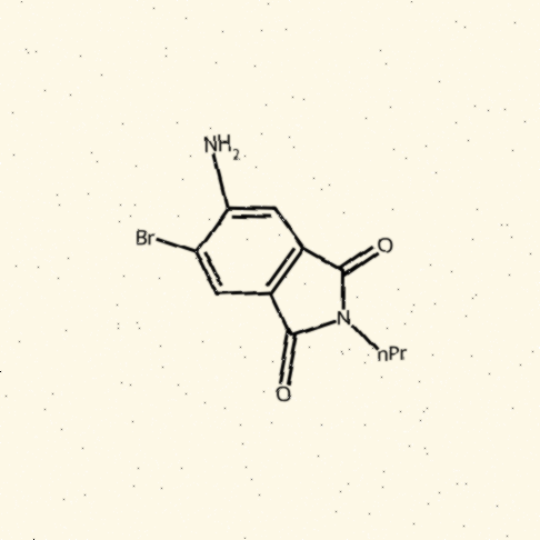 CCCN1C(=O)c2cc(N)c(Br)cc2C1=O